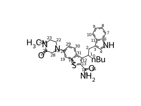 CCCCC(Cc1c[nH]c2ccccc12)c1c(C(N)=O)sc2cc(N3CCN(C)C(=O)C3)ccc12